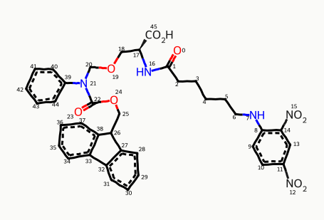 O=C(CCCCCNc1ccc([N+](=O)[O-])cc1[N+](=O)[O-])N[C@@H](COCN(C(=O)OCC1c2ccccc2-c2ccccc21)c1ccccc1)C(=O)O